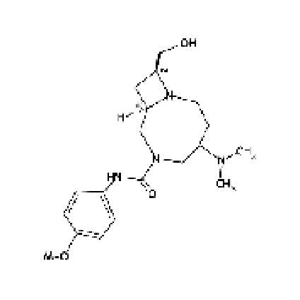 COc1ccc(NC(=O)N2CC(N(C)C)CCN3[C@H](CO)C[C@@H]3C2)cc1